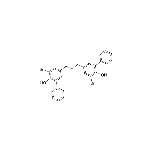 Oc1c(Br)cc(CCCc2cc(Br)c(O)c(-c3ccccc3)c2)cc1-c1ccccc1